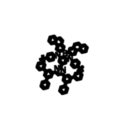 CC(C)(C)c1ccc(N2c3cc4c(ccc5ccccc54)cc3B3c4cc5ccc6ccccc6c5cc4N(c4ccc(C(C)(C)C)cc4)c4cc(-c5nc(-c6cc(-c7ccccc7)cc(-c7ccccc7)c6)cc(-c6cc(-c7ccccc7)cc(-c7ccccc7)c6)n5)cc2c43)cc1